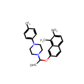 O=CC(Oc1ccc2ccc([N+](=O)[O-])c(C(F)(F)F)c2c1)N1CCN(c2ccc(C(F)(F)F)cc2)CC1